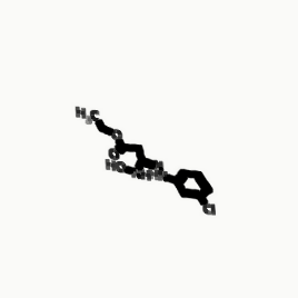 CCOC(=O)CC(=NNc1cccc(Cl)c1)NO